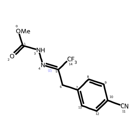 COC(=O)N/N=C(/Cc1ccc(C#N)cc1)C(F)(F)F